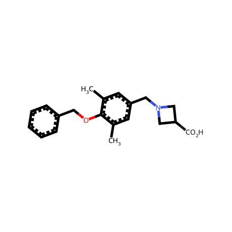 Cc1cc(CN2CC(C(=O)O)C2)cc(C)c1OCc1ccccc1